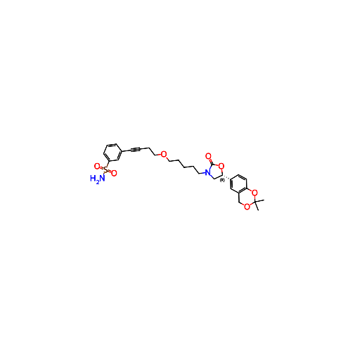 CC1(C)OCc2cc([C@@H]3CN(CCCCCOCCC#Cc4cccc(S(N)(=O)=O)c4)C(=O)O3)ccc2O1